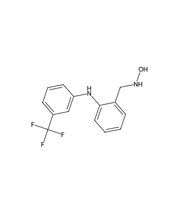 ONCc1ccccc1Nc1cccc(C(F)(F)F)c1